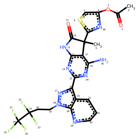 CC(=O)Oc1csc(C2(C)C(=O)Nc3nc(-c4nn(CCC(F)(F)C(F)(F)F)c5ncccc45)nc(N)c32)n1